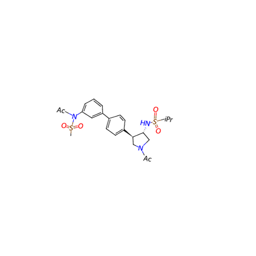 CC(=O)N1C[C@@H](NS(=O)(=O)C(C)C)[C@H](c2ccc(-c3cccc(N(C(C)=O)S(C)(=O)=O)c3)cc2)C1